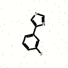 Fc1cccc(-c2cscn2)c1